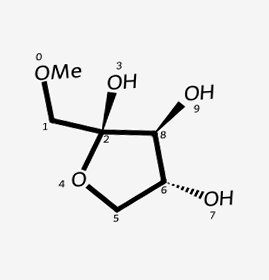 COC[C@@]1(O)OC[C@@H](O)[C@@H]1O